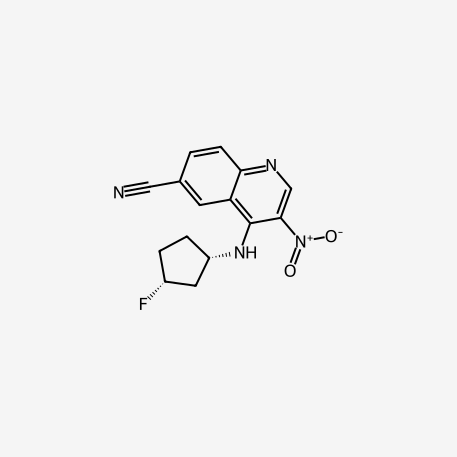 N#Cc1ccc2ncc([N+](=O)[O-])c(N[C@H]3CC[C@@H](F)C3)c2c1